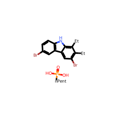 CCCCCP(=O)(O)O.CCc1c(Br)cc2c([nH]c3ccc(Br)cc32)c1CC